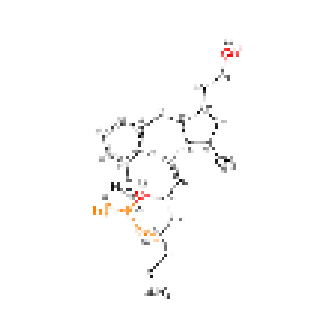 CCCCC[C@@H](/C=C/[C@H]1C(C)C[C@H](CCO)C1Cc1cccc(C)c1)OP(P)P